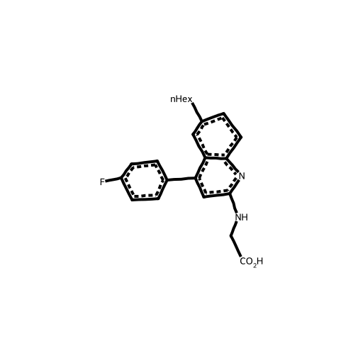 CCCCCCc1ccc2nc(NCC(=O)O)cc(-c3ccc(F)cc3)c2c1